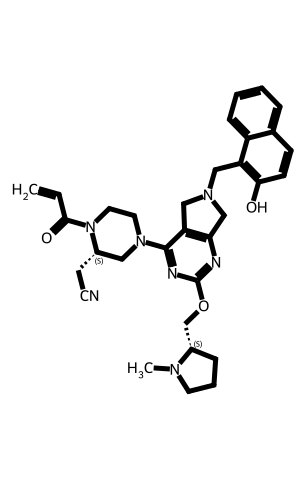 C=CC(=O)N1CCN(c2nc(OC[C@@H]3CCCN3C)nc3c2CN(Cc2c(O)ccc4ccccc24)C3)C[C@@H]1CC#N